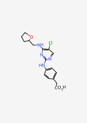 O=C(O)Cc1ccc(Nc2ncc(Cl)c(NCC3CCCO3)n2)cc1